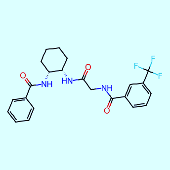 O=C(CNC(=O)c1cccc(C(F)(F)F)c1)N[C@H]1CCCC[C@H]1NC(=O)c1ccccc1